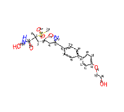 CC(C[C@H]1CC(c2ccc(-c3ccc(OCCO)cc3)cc2)=NO1)(C(=O)NO)S(C)(=O)=O